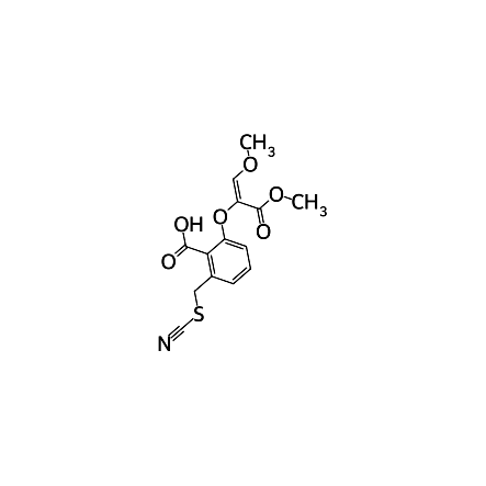 CO/C=C(/Oc1cccc(CSC#N)c1C(=O)O)C(=O)OC